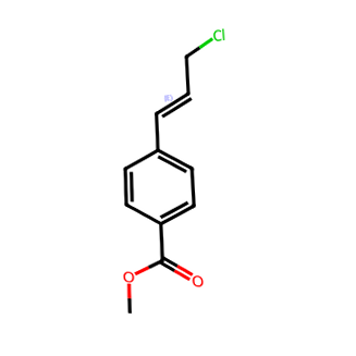 COC(=O)c1ccc(/C=C/CCl)cc1